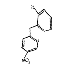 CCc1ccccc1Cc1ccc([N+](=O)[O-])cn1